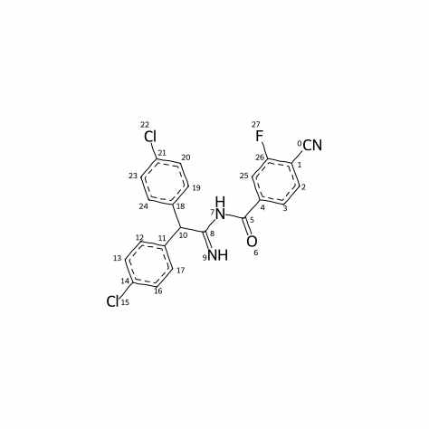 N#Cc1ccc(C(=O)NC(=N)C(c2ccc(Cl)cc2)c2ccc(Cl)cc2)cc1F